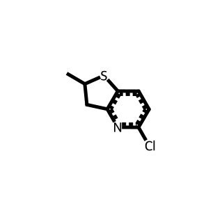 CC1Cc2nc(Cl)ccc2S1